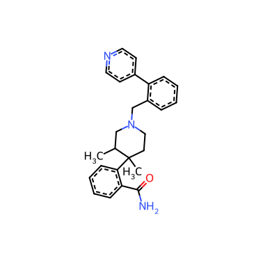 CC1CN(Cc2ccccc2-c2ccncc2)CCC1(C)c1ccccc1C(N)=O